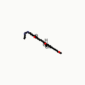 CCCCC/C=C\C/C=C\CCCCCCCC(=O)CCCCCCCCCCC(=O)NC(CO)CCCCCCCCCCCCCCCC